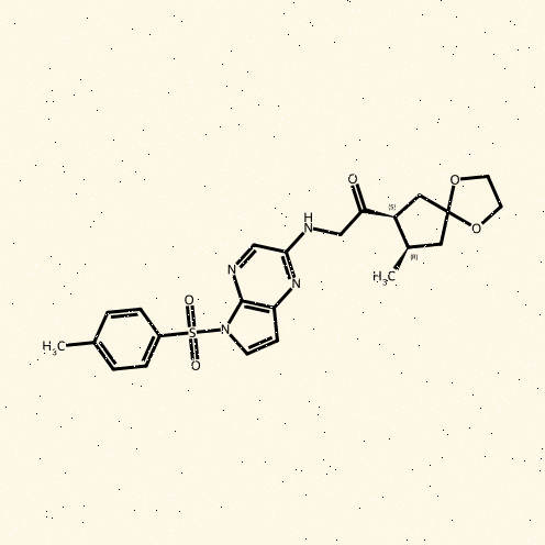 Cc1ccc(S(=O)(=O)n2ccc3nc(NCC(=O)[C@H]4CC5(C[C@H]4C)OCCO5)cnc32)cc1